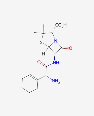 CC1(C)S[C@@H]2[C@H](NC(=O)C(N)C3=CCCCC3)C(=O)N2[C@H]1C(=O)O